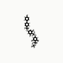 Cc1ccc(-c2ccc(C(F)(F)Oc3cc(F)c(C(F)(F)Oc4cc(F)c(C(F)(F)OC(F)(F)F)c(F)c4)c(F)c3)cc2)cc1